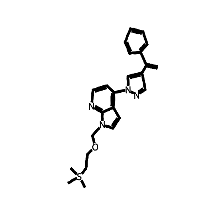 C=C(c1ccccc1)c1cnn(-c2ccnc3c2ccn3COCCS(C)(C)C)c1